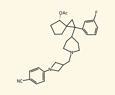 CC(=O)O[C@H]1CCCC12CC2(c1cccc(F)c1)C1CCN(CC2CN(c3ccc(C#N)cc3)C2)CC1